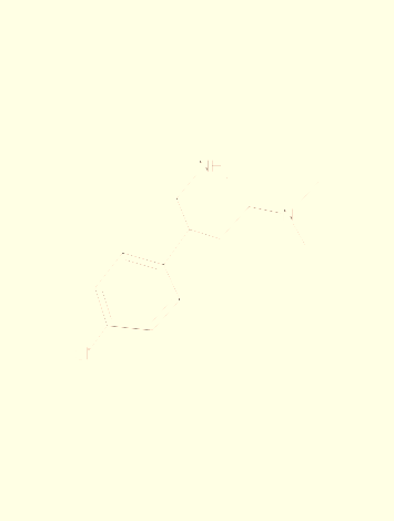 CN(C)CCC(CN)c1ccc(Cl)cc1